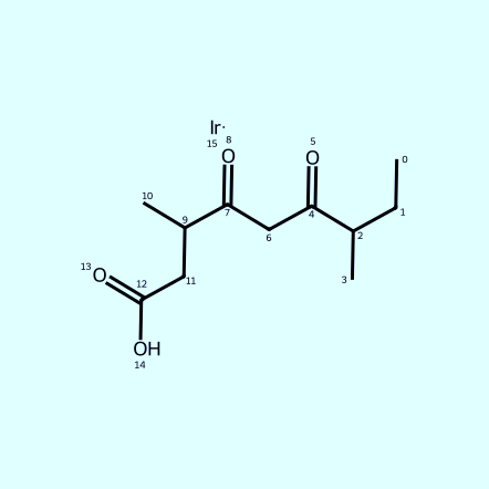 CCC(C)C(=O)CC(=O)C(C)CC(=O)O.[Ir]